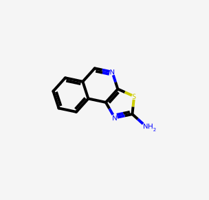 Nc1nc2c(ncc3ccccc32)s1